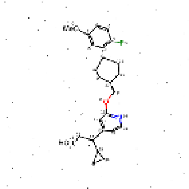 COc1ccc(F)c([C@H]2CC[C@H](COc3cc(C(CC(=O)O)C4CC4)ccn3)CC2)c1